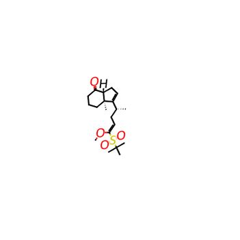 CO/C(=C\C[C@@H](C)C1=CC[C@H]2C(=O)CCC[C@]12C)S(=O)(=O)C(C)(C)C